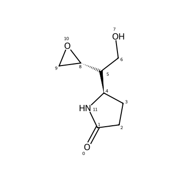 O=C1CC[C@H](C(CO)[C@@H]2CO2)N1